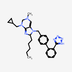 CCCCCC1N=C2C(=CN(C)CN2CC2CC2)N1Cc1ccc(-c2ccccc2-c2nnn[nH]2)cc1